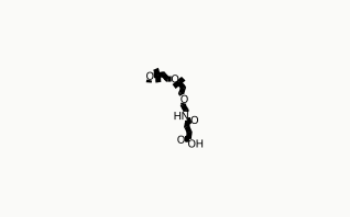 COC(C)(C)CCOC(C)(C)CCOCCNC(=O)CCC(=O)O